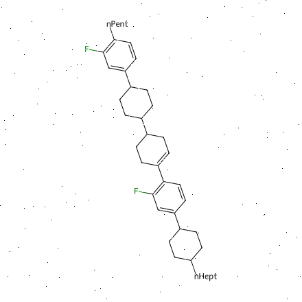 CCCCCCCC1CCC(c2ccc(C3=CCC(C4CCC(c5ccc(CCCCC)c(F)c5)CC4)CC3)c(F)c2)CC1